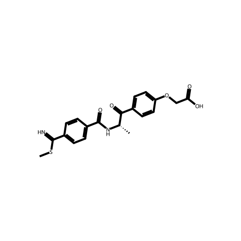 CSC(=N)c1ccc(C(=O)N[C@@H](C)C(=O)c2ccc(OCC(=O)O)cc2)cc1